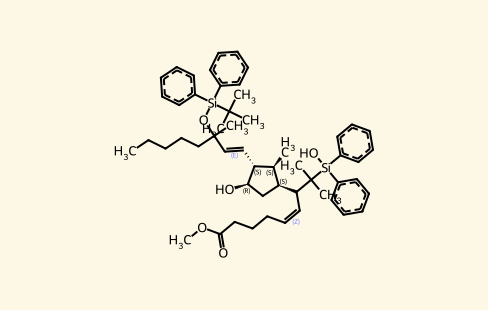 CCCCCC(C)(/C=C/[C@@H]1[C@@H](C)[C@@H](C(/C=C\CCCC(=O)OC)C(C)(C)[Si](O)(c2ccccc2)c2ccccc2)C[C@H]1O)O[Si](c1ccccc1)(c1ccccc1)C(C)(C)C